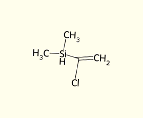 C=C(Cl)[SiH](C)C